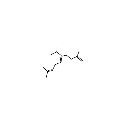 C=C(C)CCC(=CCC=C(C)C)C(C)C